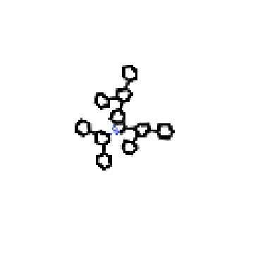 c1ccc(-c2cc(-c3ccccc3)cc(-n3cc(-c4ccc(-c5ccccc5)cc4-c4ccccc4)c4cc(-c5ccc(-c6ccccc6)cc5-c5ccccc5)ccc43)c2)cc1